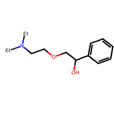 CCN(CC)CCOCC(O)c1ccccc1